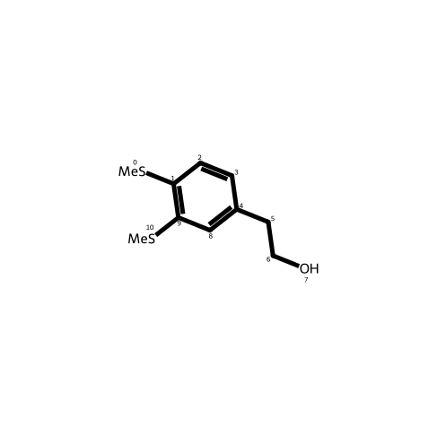 CSc1ccc(CCO)cc1SC